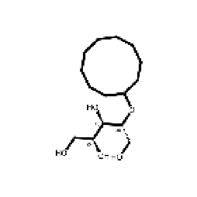 OC[C@H](O)[C@@H](O)[C@@H](CO)OC1CCCCCCCCC1